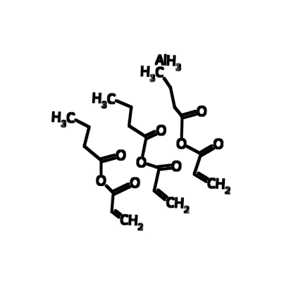 C=CC(=O)OC(=O)CCC.C=CC(=O)OC(=O)CCC.C=CC(=O)OC(=O)CCC.[AlH3]